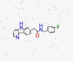 O=C(Cc1ccc2c(c1)[nH]c1cccnc12)NCc1ccc(F)cc1